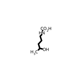 CC(O)CCCNC(=O)O